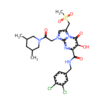 CC1CC(C)CN(C(=O)Cn2cc(CS(C)(=O)=O)n3c(=O)c(O)c(C(=O)NCc4ccc(Cl)c(Cl)c4)nc23)C1